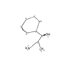 CC(N)[C@H](O)C1CCCCC1